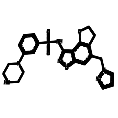 O=S(=O)(Nc1noc2cc(Cn3cccn3)c3c(c12)OCC3)c1cccc(N2CCNCC2)c1